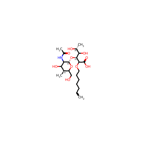 C=CCCCCCOC(C(=O)O)[C@@H](O[C@@H]1OC(CO)[C@@H](C)C(O)C1NC(C)=O)C(O)[C@@H](C)O